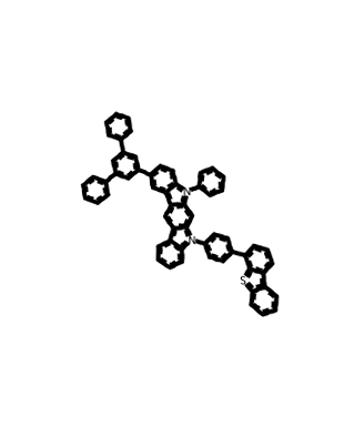 c1ccc(-c2cc(-c3ccccc3)cc(-c3ccc4c(c3)c3cc5c6ccccc6n(-c6ccc(-c7cccc8c7sc7ccccc78)cc6)c5cc3n4-c3ccccc3)c2)cc1